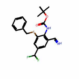 CC(C)(C)OC(=O)Nc1c(C=N)cc(C(F)F)cc1SCc1ccccc1